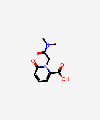 CN(C)C(=O)Cn1c(C(=O)O)cccc1=O